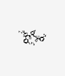 Cc1cccc(-c2sc(N)nc2C(=O)N2CC3CC3C2CNC(=O)c2cccc(Br)c2)c1